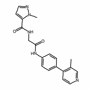 Cc1cnccc1-c1ccc(NC(=O)CNC(=O)c2ccnn2C)cc1